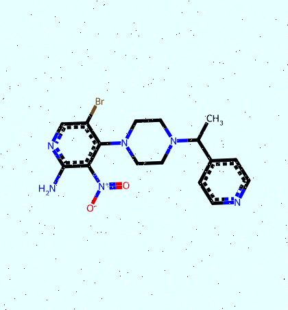 CC(c1ccncc1)N1CCN(c2c(Br)cnc(N)c2[N+](=O)[O-])CC1